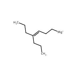 CCCC(=CC[CH2][Mg+])CCC